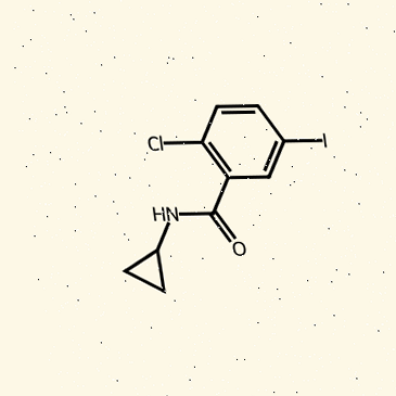 O=C(NC1CC1)c1cc(I)ccc1Cl